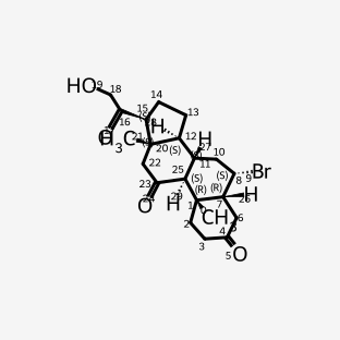 C[C@]12CCC(=O)C[C@H]1[C@@H](Br)C[C@H]1[C@@H]3CC[C@H](C(=O)CO)[C@@]3(C)CC(=O)[C@@H]12